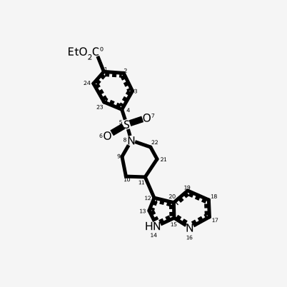 CCOC(=O)c1ccc(S(=O)(=O)N2CCC(c3c[nH]c4ncccc34)CC2)cc1